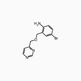 Nc1ccc(Br)cc1COCc1ccncn1